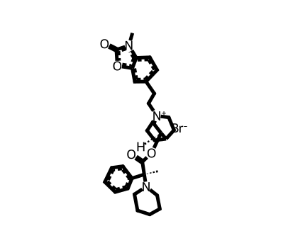 Cn1c(=O)oc2cc(CC[N+]34CCC(CC3)[C@@H](OC(=O)[C@](C)(c3ccccc3)N3CCCCC3)C4)ccc21.[Br-]